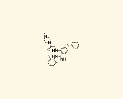 Cc1cccc(C)c1NC(=N)c1ccc(Nc2ccccc2)cc1NCC(=O)N1CCN(C)CC1